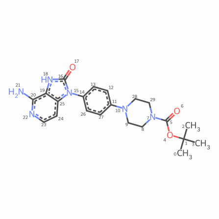 CC(C)(C)OC(=O)N1CCN(c2ccc(-n3c(=O)[nH]c4c(N)nccc43)cc2)CC1